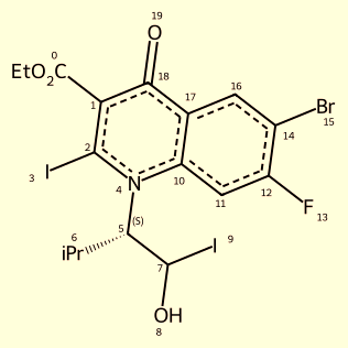 CCOC(=O)c1c(I)n([C@@H](C(C)C)C(O)I)c2cc(F)c(Br)cc2c1=O